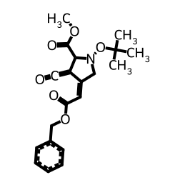 COC(=O)C1C(=C=O)C(=CC(=O)OCc2ccccc2)CN1OC(C)(C)C